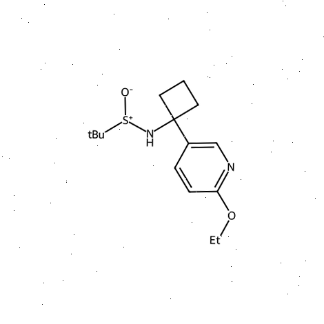 CCOc1ccc(C2(N[S+]([O-])C(C)(C)C)CCC2)cn1